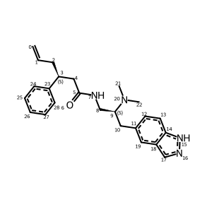 C=CC[C@@H](CC(=O)NC[C@H](Cc1ccc2[nH]ncc2c1)N(C)C)c1ccccc1